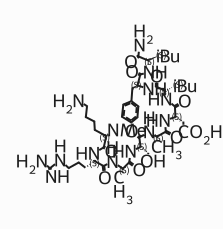 CC[C@H](C)[C@H](NC(=O)[C@H](Cc1ccccc1)NC(=O)[C@@H](NC(=O)[C@H](CC(=O)O)NC(=O)[C@H](C)NC(=O)[C@H](CO)NC(=O)[C@H](C)NC(=O)[C@H](CCCNC(=N)N)NC(=O)[C@H](CCCCN)NC)[C@@H](C)CC)C(N)=O